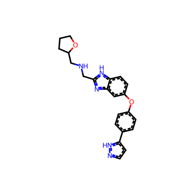 c1cc(-c2ccc(Oc3ccc4[nH]c(CNCC5CCCO5)nc4c3)cc2)[nH]n1